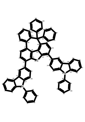 c1ccc(-n2c3ccccc3c3cc(-c4ccc5c6c4sc4c(-c7ccc8c(c7)c7ccccc7n8-c7ccccc7)ccc(c46)C(c4ccccc4)(c4ccccc4)c4ccccc4-5)ccc32)cc1